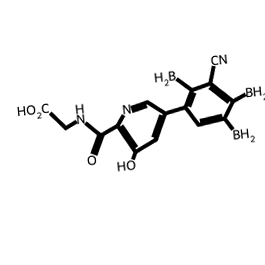 Bc1cc(-c2cnc(C(=O)NCC(=O)O)c(O)c2)c(B)c(C#N)c1B